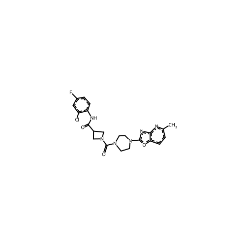 Cc1ccc2oc(N3CCN(C(=O)N4CC(C(=O)Nc5ccc(F)cc5Cl)C4)CC3)nc2n1